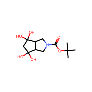 CC(C)(C)OC(=O)N1CC2C(C1)C(O)(O)CC2(O)O